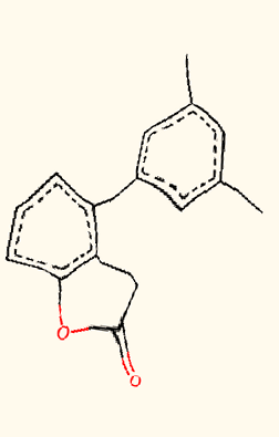 Cc1cc(C)cc(-c2cccc3c2CC(=O)O3)c1